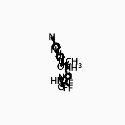 C[C@@H](NC[C@H]1CCc2c1n[nH]c(=O)c2C(F)(F)F)C(=O)N1CCN(c2ccc(C#N)cn2)CC1